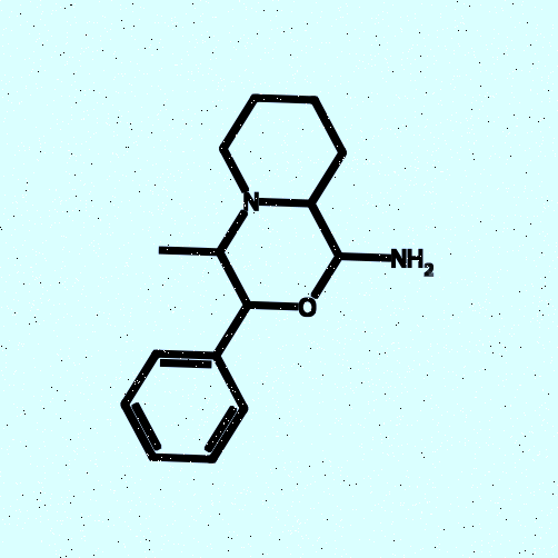 CC1C(c2ccccc2)OC(N)C2CCCCN12